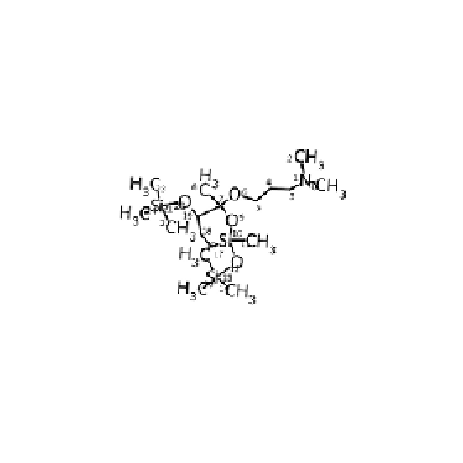 CN(C)CCCOC1(C)O[Si](C)(O[Si](C)(C)C)CCC1O[Si](C)(C)C